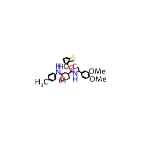 COc1ccc(C(CC(=O)O)NC(=O)C(CC(=O)Nc2ccc(C)cc2)CC(C)C)cc1OC.c1ccc2c(c1)CS2